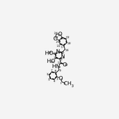 CCOc1ccccc1CNC(=O)c1nc(Cc2ccc3c(c2)OCO3)nc(O)c1O